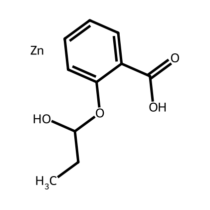 CCC(O)Oc1ccccc1C(=O)O.[Zn]